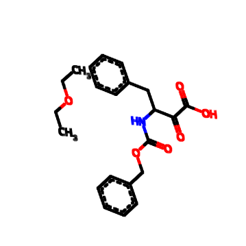 CCOCC.O=C(NC(Cc1ccccc1)C(=O)C(=O)O)OCc1ccccc1